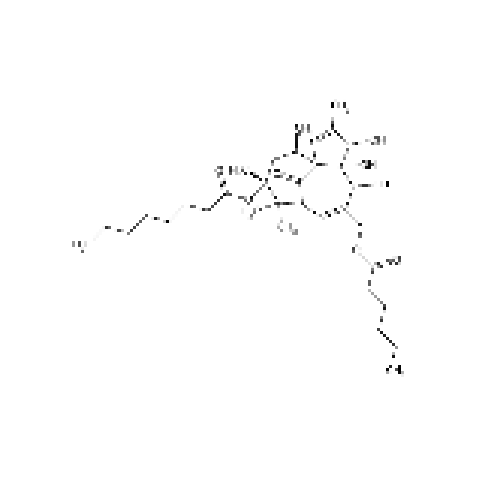 CCCCCCCC(=O)O[C@]1(C)C[C@@H](C)C23C=C(C)C(O)C2(O)C(O)C(COC(=O)CCCCC)=CC(C3=O)C1(C)C